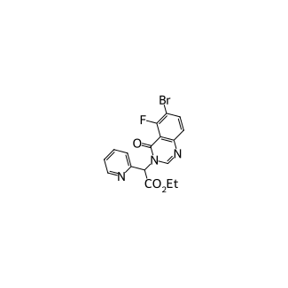 CCOC(=O)C(c1ccccn1)n1cnc2ccc(Br)c(F)c2c1=O